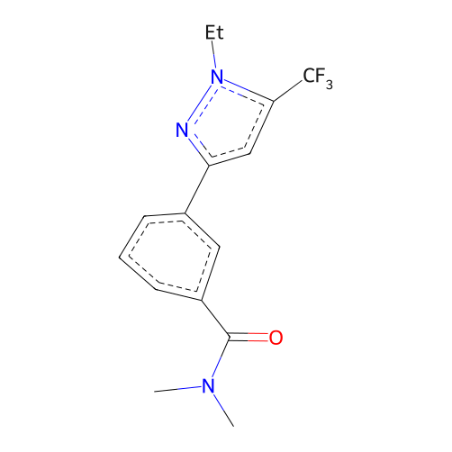 CCn1nc(-c2cccc(C(=O)N(C)C)c2)cc1C(F)(F)F